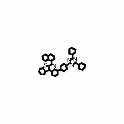 c1ccc(-c2nc(-c3ccccc3)nc(-c3ccc(-c4cccc5c4nc(-c4cccc6ccccc46)c4sc6ccccc6c45)cc3)n2)cc1